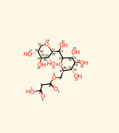 O=C(O)CC(=O)OC[C@H]1OC(C(O)[C@@H]2O[CH][C@@H](O)[C@H](O)[C@H]2O)[C@H](O)[C@@H](O)[C@@H]1O